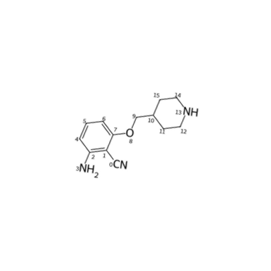 N#Cc1c(N)cccc1OCC1CCNCC1